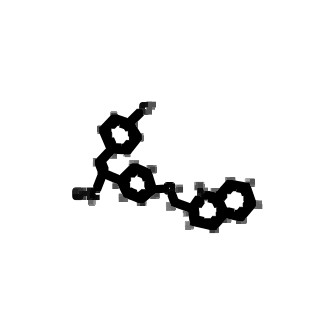 O=C/C(=C/c1ccc(Cl)cc1)c1ccc(OCc2ccc3ccccc3n2)cc1